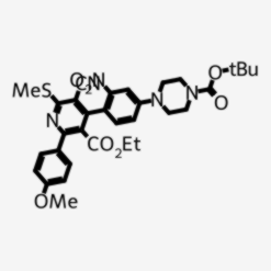 CCOC(=O)c1c(-c2ccc(OC)cc2)nc(SC)c(C#N)c1-c1ccc(N2CCN(C(=O)OC(C)(C)C)CC2)cc1[N+](=O)[O-]